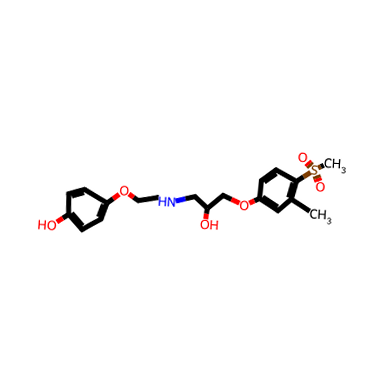 Cc1cc(OCC(O)CNCCOc2ccc(O)cc2)ccc1S(C)(=O)=O